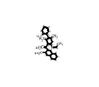 C=C(c1cc2c(cc1C)C=CCC2)c1c(/N=C\C)cc(C)c(-c2ccccc2C)c1C